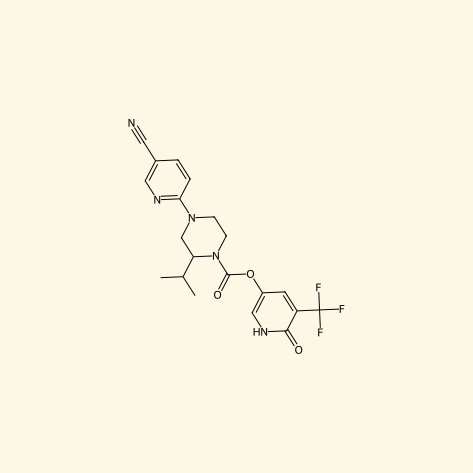 CC(C)C1CN(c2ccc(C#N)cn2)CCN1C(=O)Oc1c[nH]c(=O)c(C(F)(F)F)c1